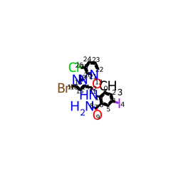 Cc1cc(I)cc(C(N)=O)c1NC(=O)c1cc(Br)nn1-c1ncccc1Cl